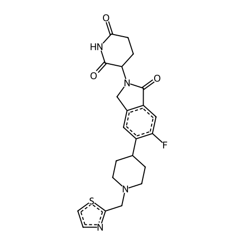 O=C1CCC(N2Cc3cc(C4CCN(Cc5nccs5)CC4)c(F)cc3C2=O)C(=O)N1